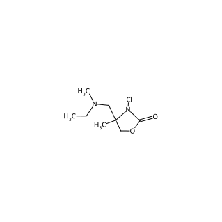 CCN(C)CC1(C)COC(=O)N1Cl